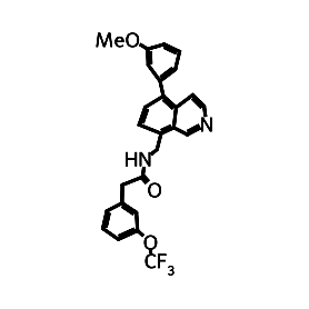 COc1cccc(-c2ccc(CNC(=O)Cc3cccc(OC(F)(F)F)c3)c3cnccc23)c1